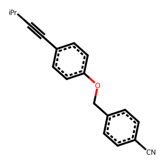 CC(C)C#Cc1ccc(OCc2ccc(C#N)cc2)cc1